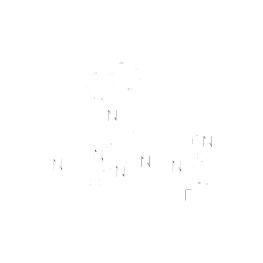 C=C(F)C(=O)N1CCN(c2nc(=O)n(C[C@@H]3CCCN3C)c3c2C2(CCC2)CN(c2cccc4cccc(C)c24)C3)C[C@@H]1CC#N